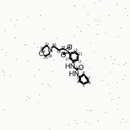 O=C(Nc1ccccc1)Nc1cccc(S(=O)(=O)CCCN2CCOCC2)c1